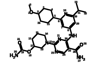 COC1CCC(c2cc(Nc3nc(N4CCCC(OC(N)=O)C4)ncc3C(N)=O)cc(C(C)C)n2)CC1